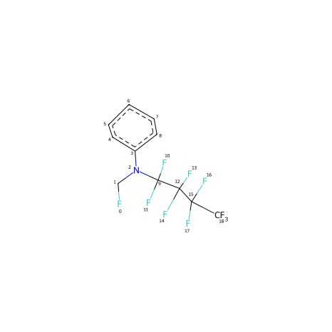 FCN(c1ccccc1)C(F)(F)C(F)(F)C(F)(F)C(F)(F)F